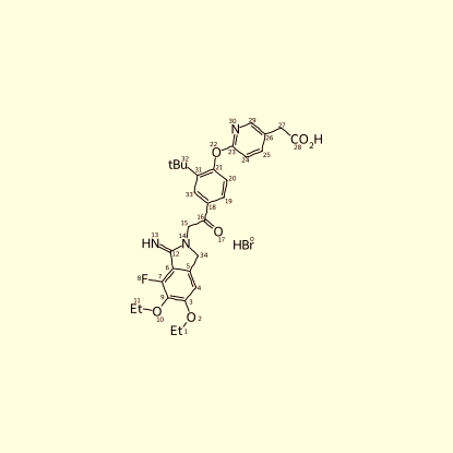 Br.CCOc1cc2c(c(F)c1OCC)C(=N)N(CC(=O)c1ccc(Oc3ccc(CC(=O)O)cn3)c(C(C)(C)C)c1)C2